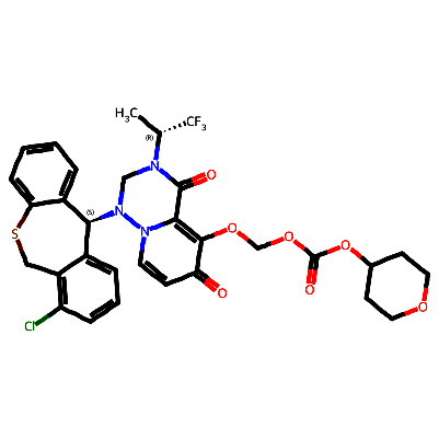 C[C@@H](N1CN([C@@H]2c3ccccc3SCc3c(Cl)cccc32)n2ccc(=O)c(OCOC(=O)OC3CCOCC3)c2C1=O)C(F)(F)F